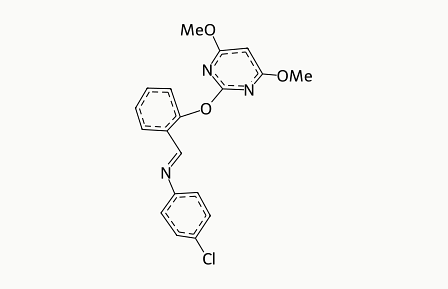 COc1cc(OC)nc(Oc2ccccc2/C=N/c2ccc(Cl)cc2)n1